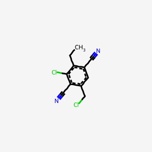 CCc1c(C#N)cc(CCl)c(C#N)c1Cl